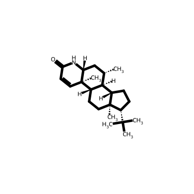 C[C@H]1C[C@H]2NC(=O)C=C[C@]2(C)[C@H]2CC[C@]3(C)[C@@H](C(C)(C)C)CC[C@H]3[C@H]12